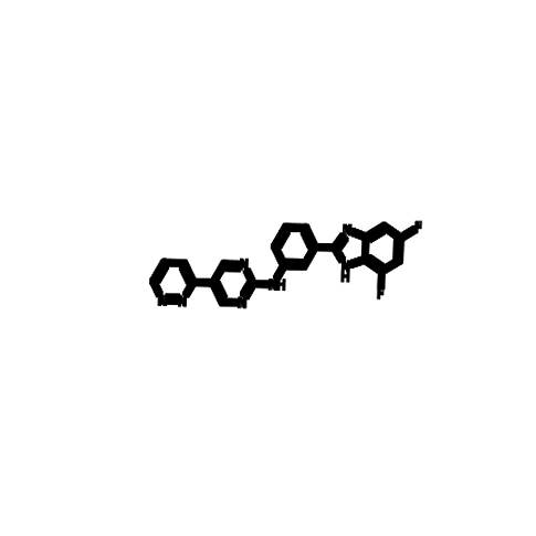 Fc1cc(F)c2[nH]c(-c3cccc(Nc4ncc(-c5cccnn5)cn4)c3)nc2c1